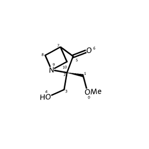 COC[C@]1(CO)C(=O)C2CN1C2